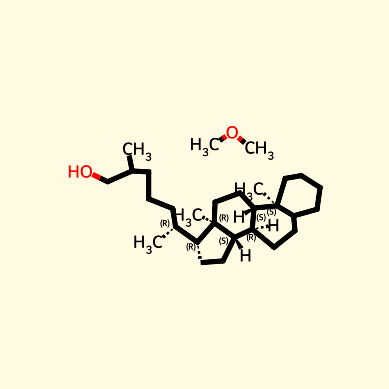 CC(CO)CCC[C@@H](C)[C@H]1CC[C@H]2[C@@H]3CCC4CCCC[C@]4(C)[C@H]3CC[C@]12C.COC